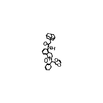 O=C(CC12CC3CC(CC(C3)C1)C2)Nc1cccc2c1CCN(C(C1=CC=CCC1)C1=COC=CO1)C2=O